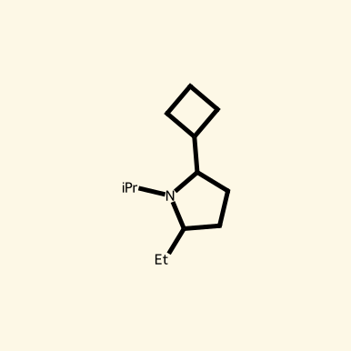 CCC1CCC(C2CCC2)N1C(C)C